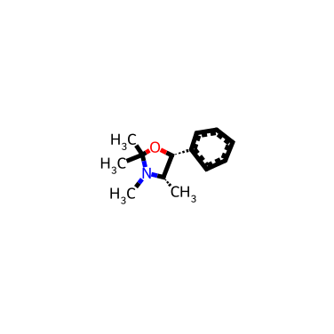 C[C@H]1[C@@H](c2ccccc2)OC(C)(C)N1C